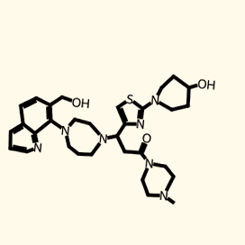 CN1CCN(C(=O)CC(c2csc(N3CCC(O)CC3)n2)N2CCCN(c3c(CO)ccc4cccnc34)CC2)CC1